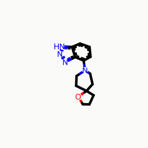 c1cc(N2CCC3(CCCO3)CC2)c2nn[nH]c2c1